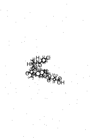 CC(C)C1=C2[C@H]3CC[C@@H]4[C@@]5(C)CC[C@H](OC(=O)[C@H]6C[C@@H](C(=O)O)C6(C)C)C(C)(C)[C@@H]5CC[C@@]4(C)[C@]3(C)CC[C@@]2(CC(=O)NC2(CNC(=O)c3ccc(Cl)cc3)CC2)CC1=O